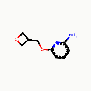 Nc1cccc(OCC2COC2)n1